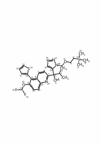 CC(C)C(O)(c1ccc2c(-c3cccs3)c(OC(F)F)ccc2n1)c1cnnn1COCC[Si](C)(C)C